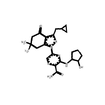 CC1(C)CC(=O)c2c(CC3CC3)nn(-c3cnc(C(N)=O)c(NC4CCCC4O)n3)c2C1